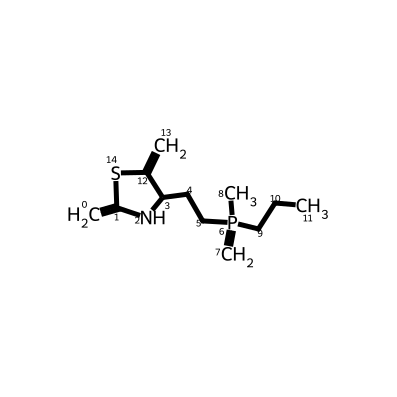 C=C1NC(CCP(=C)(C)CCC)C(=C)S1